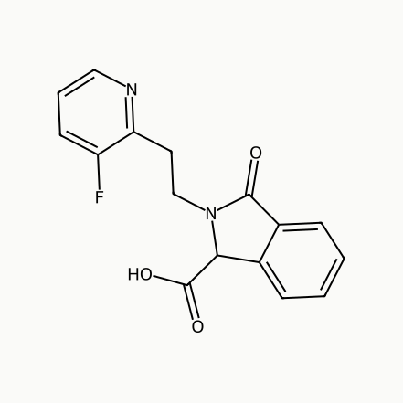 O=C(O)C1c2ccccc2C(=O)N1CCc1ncccc1F